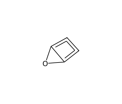 C1=C=C2OC=12